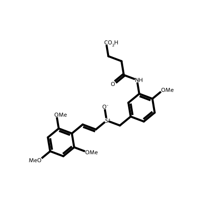 COc1cc(OC)c(C=C[S+]([O-])Cc2ccc(OC)c(NC(=O)CCC(=O)O)c2)c(OC)c1